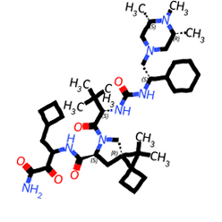 C[C@@H]1CN(C[C@@H](NC(=O)N[C@H](C(=O)N2C[C@]3(C[C@H]2C(=O)NC(CC2CCC2)C(=O)C(N)=O)C(C)(C)C32CCC2)C(C)(C)C)C2CCCCC2)C[C@H](C)N1C